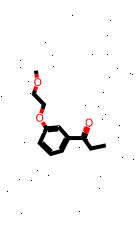 CCC(=O)c1cccc(OCCOC)c1